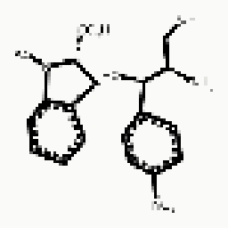 CC(=O)N1c2ccccc2C[C@H]1C(=O)O.N[C@H](CO)[C@H](O)c1ccc([N+](=O)[O-])cc1